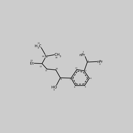 CCCC(CCC)c1cccc(C(O)CCC(CC)N(C)C)c1